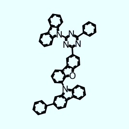 c1ccc(-c2ccc3c4ccccc4n(-c4cccc5c4oc4ccc(-c6nc(-c7ccccc7)nc(-n7c8ccccc8c8ccccc87)n6)cc45)c3c2)cc1